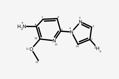 [2H]c1cnn(-c2ccc(N)c(OC)n2)c1